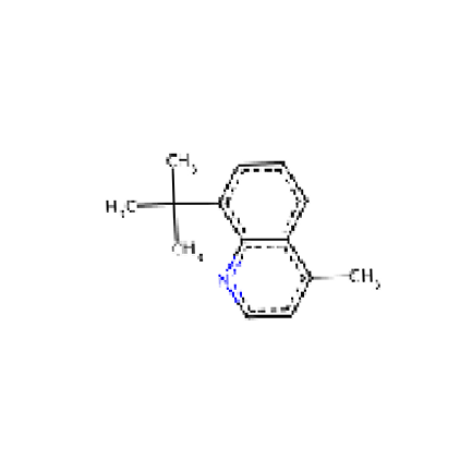 Cc1ccnc2c(C(C)(C)C)cccc12